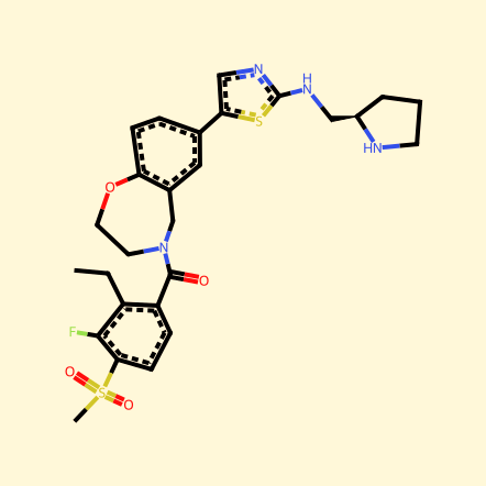 CCc1c(C(=O)N2CCOc3ccc(-c4cnc(NC[C@H]5CCCN5)s4)cc3C2)ccc(S(C)(=O)=O)c1F